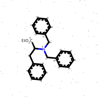 CCOC(=O)C(Cc1ccccc1)N(Cc1ccccc1)Cc1ccccc1